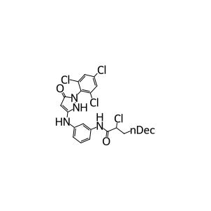 CCCCCCCCCCCC(Cl)C(=O)Nc1cccc(Nc2cc(=O)n(-c3c(Cl)cc(Cl)cc3Cl)[nH]2)c1